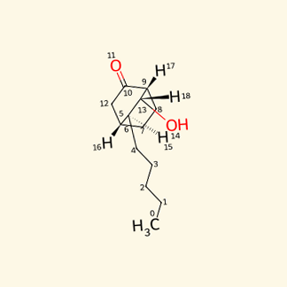 CCCCC[C@H]1[C@@H]2CC[C@@H](C(=O)C2)[C@@H]1O